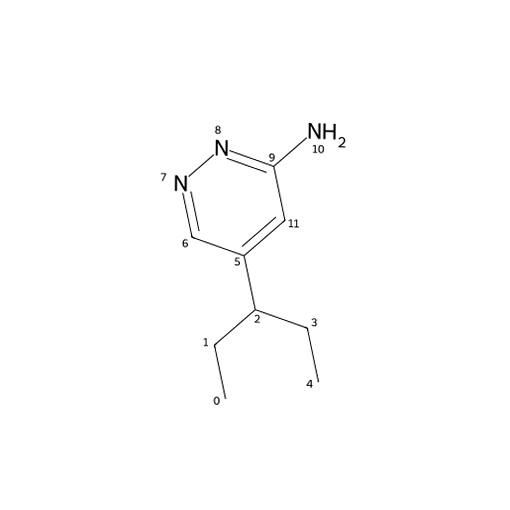 CCC(CC)c1cnnc(N)c1